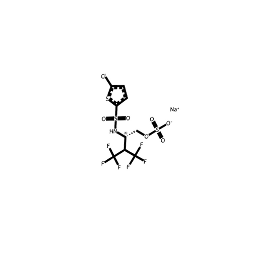 O=S(=O)([O-])OC[C@@H](NS(=O)(=O)c1ccc(Cl)s1)C(C(F)(F)F)C(F)(F)F.[Na+]